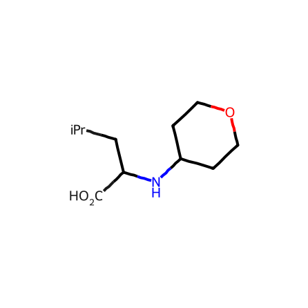 CC(C)CC(NC1CCOCC1)C(=O)O